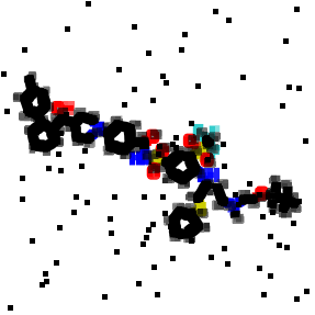 Cc1ccc(-c2ccccc2[C@H](O)C2CCN(c3ccc(C(=O)NS(=O)(=O)c4ccc(N[C@H](CCN(C)CCO[Si](C)(C)C(C)(C)C)CSc5ccccc5)c(S(=O)(=O)C(F)(F)F)c4)cc3)CC2)cc1